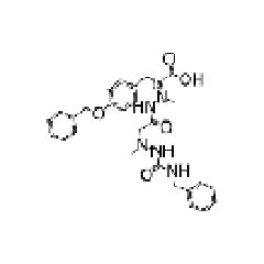 CN(CC(=O)NN(C)[C@@H](Cc1ccc(OCc2ccccc2)cc1)C(=O)O)NC(=O)NCc1ccccc1